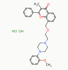 COc1ccccc1N1CCN(CCOCc2cccc3c(=O)c(C)c(-c4ccccc4)oc23)CC1.Cl.Cl